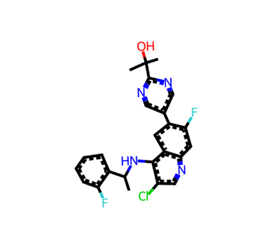 CC(Nc1c(Cl)cnc2cc(F)c(-c3cnc(C(C)(C)O)nc3)cc12)c1ccccc1F